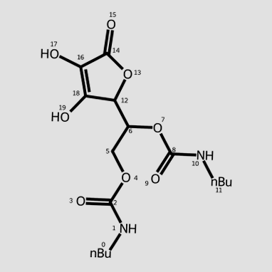 CCCCNC(=O)OCC(OC(=O)NCCCC)C1OC(=O)C(O)=C1O